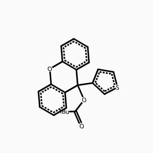 CC(C)(C)C(=O)OC1(c2ccsc2)c2ccccc2Oc2ccccc21